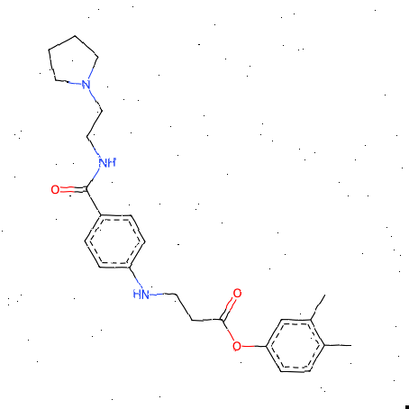 Cc1ccc(OC(=O)CCNc2ccc(C(=O)NCCN3CCCC3)cc2)cc1C